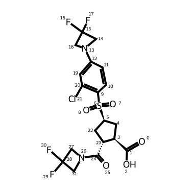 O=C(O)[C@@H]1C[C@H](S(=O)(=O)c2ccc(N3CC(F)(F)C3)cc2Cl)C[C@H]1C(=O)N1CC(F)(F)C1